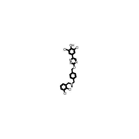 CN(Cc1ccc(COc2ncc(-c3cc(Cl)c(O)c(Cl)c3)nn2)cc1)Cc1cccc(Cl)c1Cl